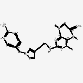 Cc1nc(NCc2cnn(Cc3ccc(C(F)(F)F)nc3)c2)nc2c1N(C)C(=O)CN2C